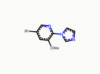 COc1cc(C(C)C)cnc1-n1ccnc1